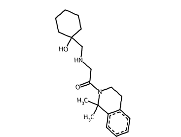 CC1(C)c2ccccc2CCN1C(=O)CNCC1(O)CCCCC1